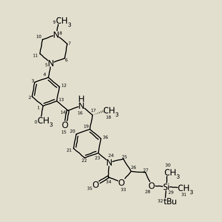 Cc1ccc(N2CCN(C)CC2)cc1C(=O)N[C@H](C)c1cccc(N2CC(CO[Si](C)(C)C(C)(C)C)OC2=O)c1